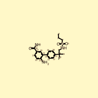 CCCS(=O)(=O)NCC(C)(F)c1ccc(-c2cc(C([NH])=O)ccc2N)cc1